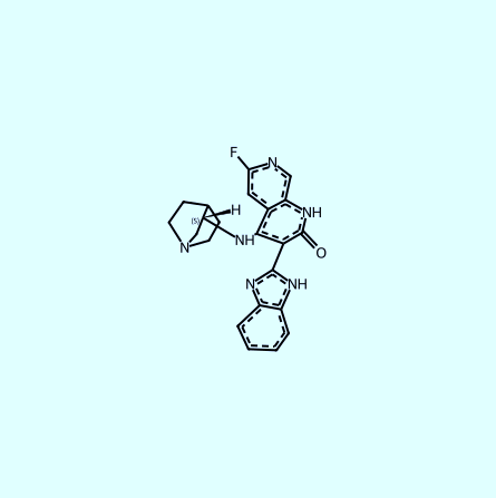 O=c1[nH]c2cnc(F)cc2c(N[C@@H]2CN3CCC2CC3)c1-c1nc2ccccc2[nH]1